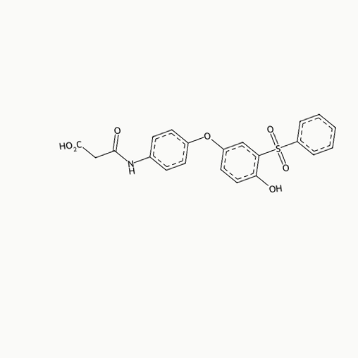 O=C(O)CC(=O)Nc1ccc(Oc2ccc(O)c(S(=O)(=O)c3ccccc3)c2)cc1